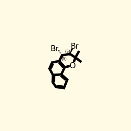 CC1(C)Oc2c(ccc3ccccc23)[C@H](Br)[C@H]1Br